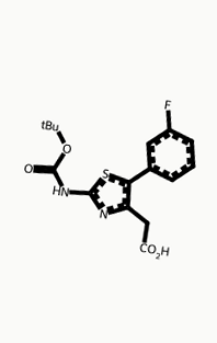 CC(C)(C)OC(=O)Nc1nc(CC(=O)O)c(-c2cccc(F)c2)s1